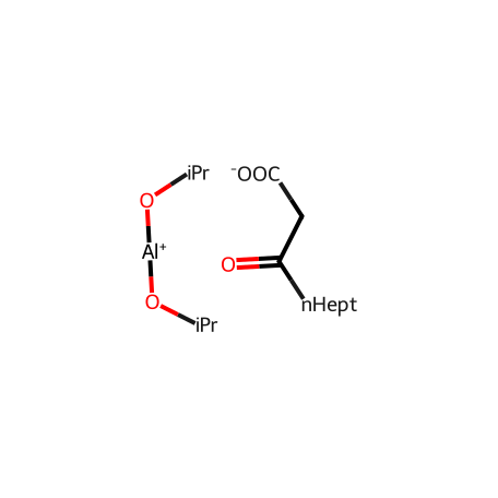 CC(C)[O][Al+][O]C(C)C.CCCCCCCC(=O)CC(=O)[O-]